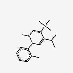 Cc1ccccc1C1C=C(C(C)C)C([Si](C)(C)C)=CN1C